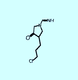 N=CN1CC(=O)C(CCCCl)C1